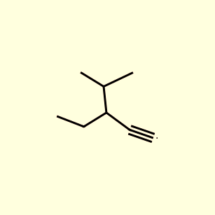 [C]#CC(CC)C(C)C